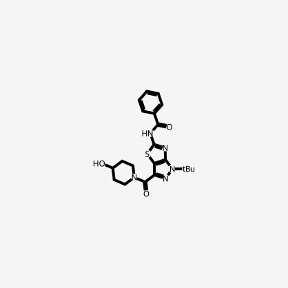 CC(C)(C)n1nc(C(=O)N2CCC(O)CC2)c2sc(NC(=O)c3ccccc3)nc21